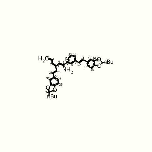 C=C/C=C(\C=C(/N)c1cc(/C=C/c2ccc3c(c2)OC(CCCC)O3)ccn1)/C=C/c1ccc2c(c1)OC(CCCC)O2